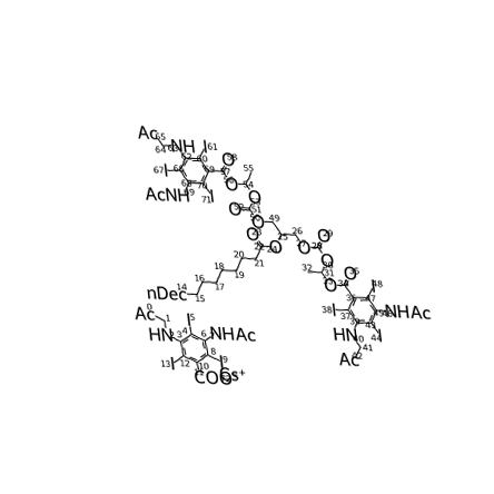 CC(=O)CNc1c(I)c(NC(C)=O)c(I)c(C(=O)[O-])c1I.CCCCCCCCCCCCCCCCCC(=O)OC(COC(=O)OC(C)OC(=O)c1c(I)c(NCC(C)=O)c(I)c(NC(C)=O)c1I)COC(=O)OC(C)OC(=O)c1c(I)c(NCC(C)=O)c(I)c(NC(C)=O)c1I.[Cs+]